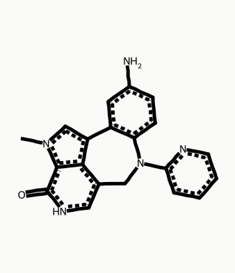 Cn1cc2c3c(c[nH]c(=O)c31)CN(c1ccccn1)c1ccc(N)cc1-2